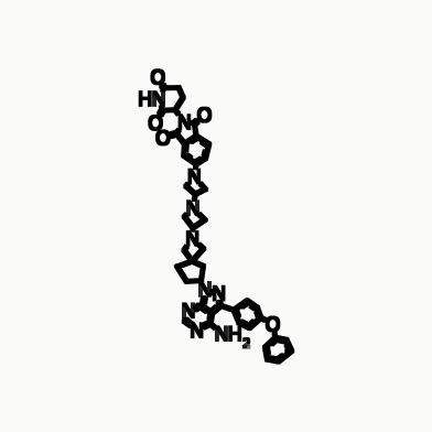 Nc1ncnc2c1c(-c1ccc(Oc3ccccc3)cc1)nn2C1CCC2(C1)CN(C1CN(C3CN(c4ccc5c(c4)C(=O)N(C4CCC(=O)NC4=O)C5=O)C3)C1)C2